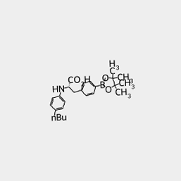 CCCCc1ccc(N[C@@H](Cc2ccc(B3OC(C)(C)C(C)(C)O3)cc2)C(=O)O)cc1